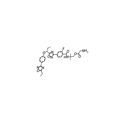 CCc1nc(-c2ccc(OC(CC)c3nc(-c4ccc(C(=O)NC(C)(C)COC(=O)CN)c(F)c4)no3)cc2)no1